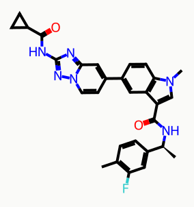 Cc1ccc([C@H](C)NC(=O)c2cn(C)c3ccc(-c4ccn5nc(NC(=O)C6CC6)nc5c4)cc23)cc1F